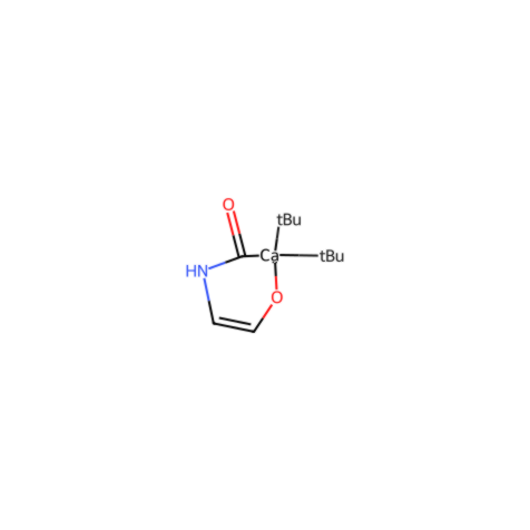 C[C](C)(C)[Ca]1([C](C)(C)C)[O]C=CN[C]1=O